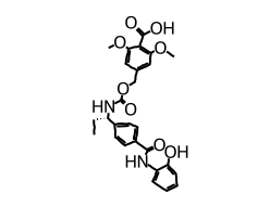 CC[C@H](NC(=O)OCc1cc(OC)c(C(=O)O)c(OC)c1)c1ccc(C(=O)Nc2ccccc2O)cc1